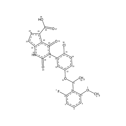 COc1cccc(F)c1C(C)Oc1ccc(Cl)c(-n2c(=O)[nH]c3csc(C(=O)O)c3c2=O)c1